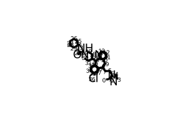 Cc1nccn1CCC1=Cc2cccnc2C(C2CCN(C(=O)NC3CCCCC3)CC2)c2ccc(Cl)cc21